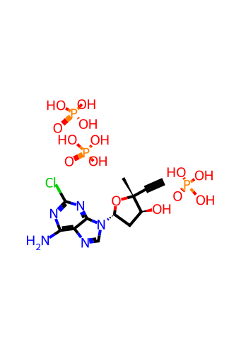 C#C[C@@]1(C)O[C@@H](n2cnc3c(N)nc(Cl)nc32)C[C@@H]1O.O=P(O)(O)O.O=P(O)(O)O.O=P(O)(O)O